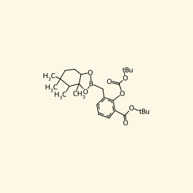 CC1C(C)(C)CCC2OB(Cc3cccc(C(=O)OC(C)(C)C)c3OC(=O)OC(C)(C)C)OC21C